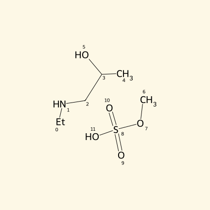 CCNCC(C)O.COS(=O)(=O)O